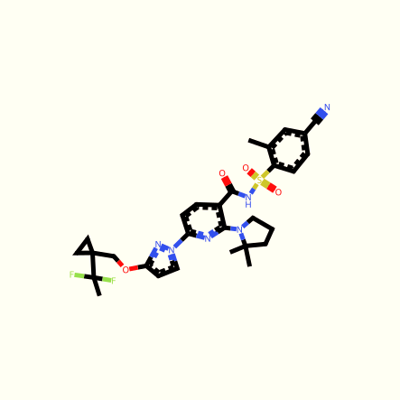 Cc1cc(C#N)ccc1S(=O)(=O)NC(=O)c1ccc(-n2ccc(OCC3(C(C)(F)F)CC3)n2)nc1N1CCCC1(C)C